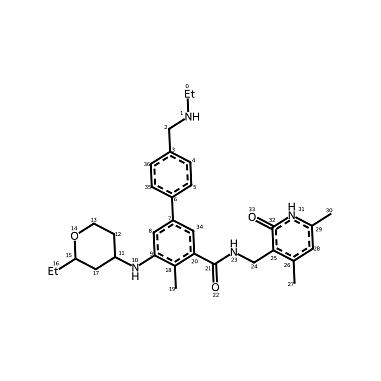 CCNCc1ccc(-c2cc(NC3CCOC(CC)C3)c(C)c(C(=O)NCc3c(C)cc(C)[nH]c3=O)c2)cc1